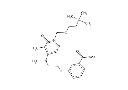 COC(=O)c1cccc(OCCN(C)c2cnn(COCC[Si](C)(C)C)c(=O)c2C(F)(F)F)c1